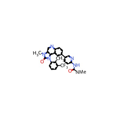 CNC(=O)Nc1ccc(-c2ccc3ncc4c(c3c2)n(-c2cccc(C(F)(F)F)c2C)c(=O)n4C)cn1